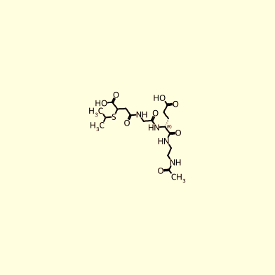 CC(=O)NCCNC(=O)[C@@H](CCC(=O)O)NC(=O)CNC(=O)CC(SC(C)C)C(=O)O